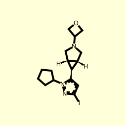 Ic1cc([C@H]2[C@@H]3CN(C4COC4)C[C@@H]32)n(C2CCCC2)n1